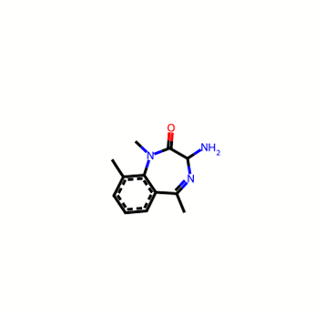 CC1=NC(N)C(=O)N(C)c2c(C)cccc21